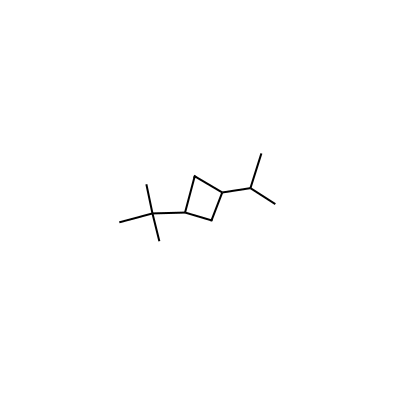 CC(C)C1CC(C(C)(C)C)C1